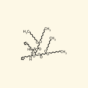 CCCCCCCCOC(CCC(=O)OCC(OC(=S)NCCCN1CCC1)C(COC(=O)CCC(OCCCCCCCC)OCCCCCCCC)OC(=S)NCCCN1CCC1)OCCCCCCCC